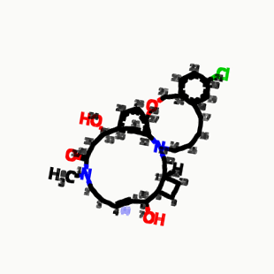 CN1CC/C=C/[C@H](O)C2CC[C@H]2CN2CCCCc3cc(Cl)ccc3COc3ccc(cc32)[C@@H](O)CC1=O